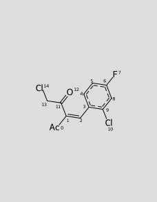 CC(=O)C(=Cc1ccc(F)cc1Cl)C(=O)CCl